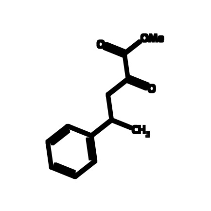 COC(=O)C(=O)CC(C)c1ccccc1